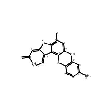 BC(=C)/C=c1/oc2c(C)cc3c(c2/c1=C/C)Cc1ccc(B)cc1O3